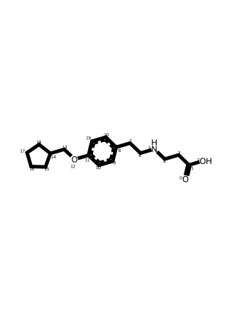 O=C(O)CCNCCc1ccc(OCC2CCCC2)cc1